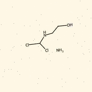 N.OCCNC(Cl)Cl